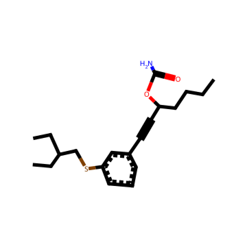 CCCCC(C#Cc1cccc(SCC(CC)CC)c1)OC(N)=O